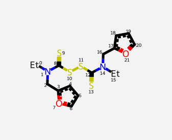 CCN(Cc1ccco1)C(=S)SSC(=S)N(CC)Cc1ccco1